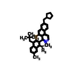 Cc1ccc2c(CC(C)(C)C)c3c(c(C)c2c1)-c1c2c(cc4cc(CC5CCCC5)ccc4c2cc[n+]1C)S3